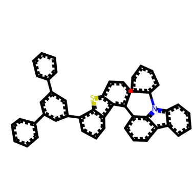 c1ccc(-c2cc(-c3ccccc3)cc(-c3cccc4c3sc3cccc(-c5cccc6c7ccccc7n(-c7ccccc7)c56)c34)c2)cc1